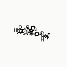 CSc1cc(C)[nH]c(=O)c1CNC(=O)c1c(C)n([C@H](C)C2CCC(C(=O)NC3CC(F)(F)C3)CC2)c2ncccc12